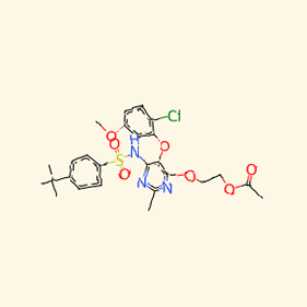 COc1ccc(Cl)c(Oc2c(NS(=O)(=O)c3ccc(C(C)(C)C)cc3)nc(C)nc2OCCOC(C)=O)c1